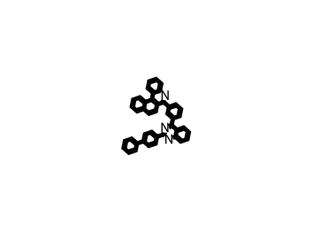 c1ccc(-c2ccc(-c3nc(-c4cccc(-c5nc6ccccc6c6c5ccc5ccccc56)c4)c4ccccc4n3)cc2)cc1